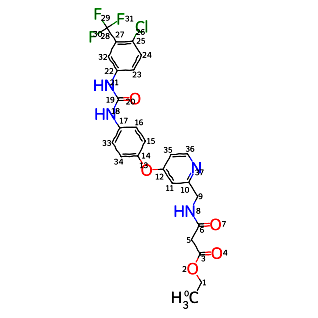 CCOC(=O)CC(=O)NCc1cc(Oc2ccc(NC(=O)Nc3ccc(Cl)c(C(F)(F)F)c3)cc2)ccn1